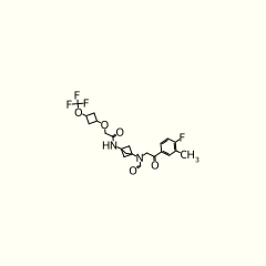 Cc1cc(C(=O)CN(C=O)C23CC(NC(=O)COC4CC(OC(F)(F)F)C4)(C2)C3)ccc1F